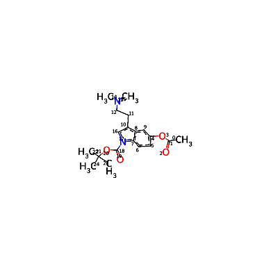 CC(=O)Oc1ccc2c(c1)c(CCN(C)C)cn2C(=O)OC(C)(C)C